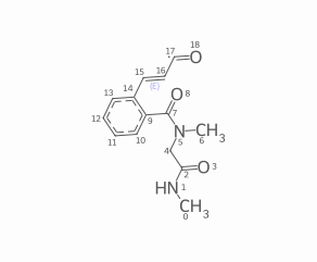 CNC(=O)CN(C)C(=O)c1ccccc1/C=C/[C]=O